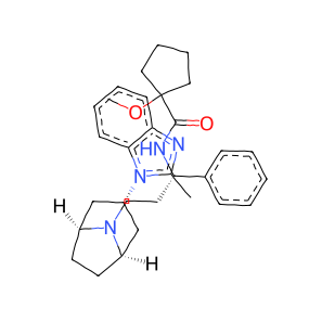 COC1(C(=O)N[C@@H](CCN2[C@@H]3CC[C@H]2C[C@H](n2c(C)nc4ccccc42)C3)c2ccccc2)CCCC1